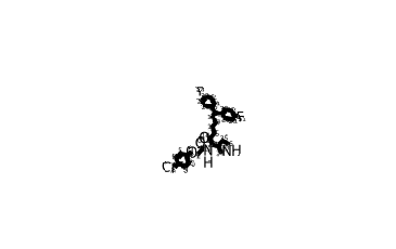 O=C(COc1ccc(Cl)cc1)NC(C(=O)CCCCC(c1ccc(F)cc1)c1ccc(F)cc1)C1CCNC1